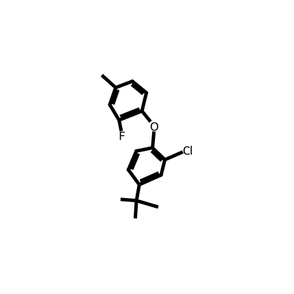 Cc1ccc(Oc2ccc(C(C)(C)C)cc2Cl)c(F)c1